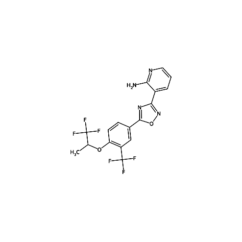 CC(Oc1ccc(-c2nc(-c3cccnc3N)no2)cc1C(F)(F)F)C(F)(F)F